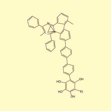 CCc1c(O)c(O)c(O)c(-c2ccc(-c3ccc(-c4ccc(-c5c(C)cccc5C(=N/C(=C(C)C)c5ccccc5)/N=C(\C)c5ccccc5)c(C5CC5)c4)cc3)cc2)c1O